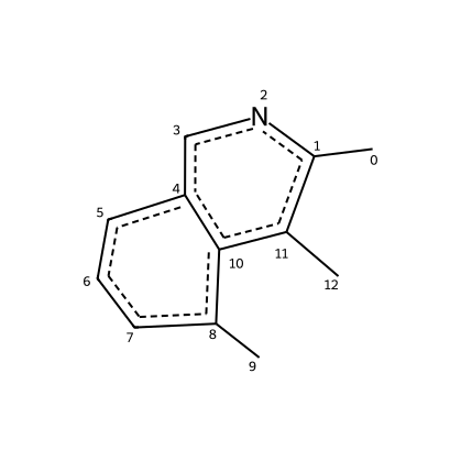 Cc1ncc2cccc(C)c2c1C